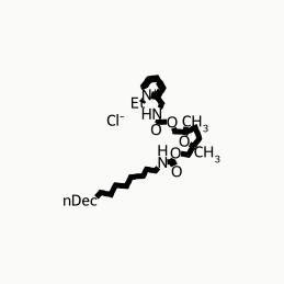 CCCCCCCCCCCCCCCCCCNC(=O)OCC1(C)CCC(C)(COC(=O)NCc2cccc[n+]2CC)O1.[Cl-]